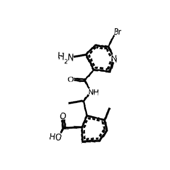 Cc1cccc(C(=O)O)c1C(C)NC(=O)c1cnc(Br)cc1N